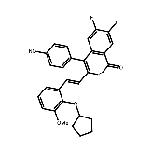 COc1cccc(C=Cc2oc(=O)c3cc(F)c(F)cc3c2-c2ccc(C#N)cc2)c1OC1CCCC1